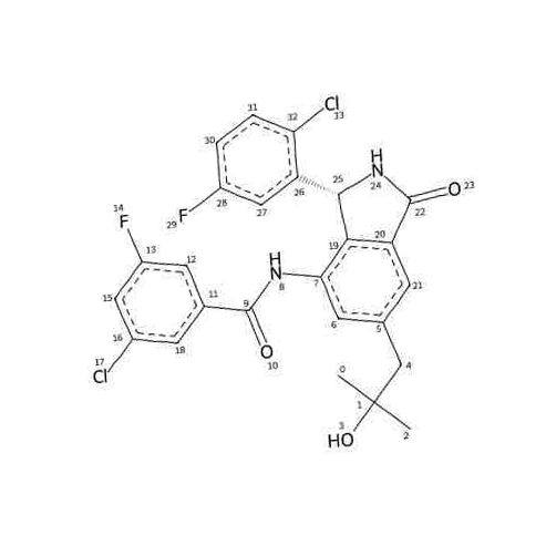 CC(C)(O)Cc1cc(NC(=O)c2cc(F)cc(Cl)c2)c2c(c1)C(=O)N[C@H]2c1cc(F)ccc1Cl